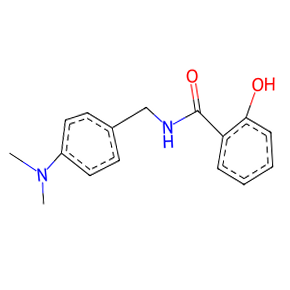 CN(C)c1ccc(CNC(=O)c2ccccc2O)cc1